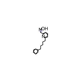 O/N=C\c1cccc(CCCCCc2ccccc2)n1